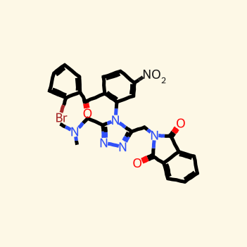 CN(C)Cc1nnc(CN2C(=O)c3ccccc3C2=O)n1-c1cc([N+](=O)[O-])ccc1C(=O)c1ccccc1Br